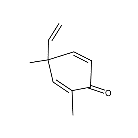 C=CC1(C)C=CC(=O)C(C)=C1